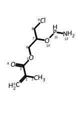 C=C(C)C(=O)OCC(CCl)OPN